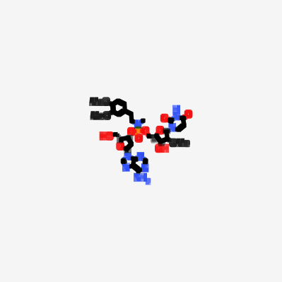 COc1ccc(CCN(C)P(=O)(OC[C@H]2O[C@@H](n3ccc(=O)[nH]c3=O)C(OC)[C@H]2O)O[C@@H]2C[C@H](n3cnc4c(N)ncnc43)O[C@@H]2CO)cc1OC